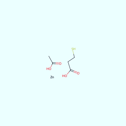 CC(=O)O.O=C(O)CCS.[Zn]